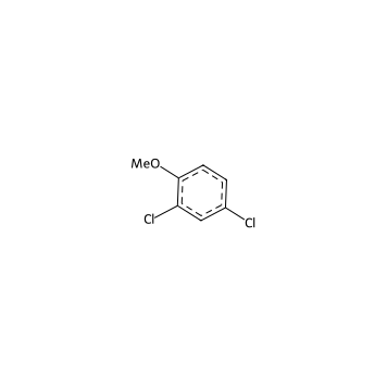 [C]Oc1ccc(Cl)cc1Cl